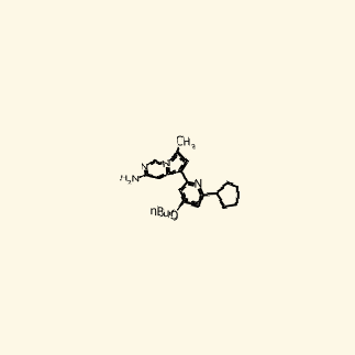 CCCCOc1cc(-c2cc(C)n3cnc(N)cc23)nc(C2CCCC2)c1